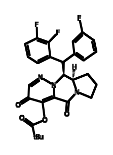 CC(C)(C)C(=O)Oc1c2n(ncc1=O)[C@@H](C(c1cccc(F)c1)c1cccc(F)c1F)[C@H]1CCCN1C2=O